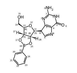 Nc1nc2c(c(=O)[nH]1)N=CC2[C@@H]1O[C@H](CO)[C@H]2OB(c3ccccc3)O[C@H]21